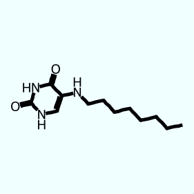 CCCCCCCCNc1c[nH]c(=O)[nH]c1=O